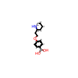 OB(O)c1ccc(OCCC2CCCCN2)cc1